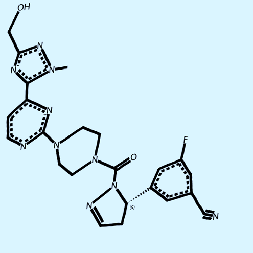 Cn1nc(CO)nc1-c1ccnc(N2CCN(C(=O)N3N=CC[C@H]3c3cc(F)cc(C#N)c3)CC2)n1